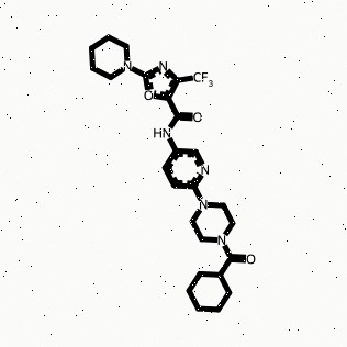 O=C(Nc1ccc(N2CCN(C(=O)C3CCCCC3)CC2)nc1)c1oc(N2CCCCC2)nc1C(F)(F)F